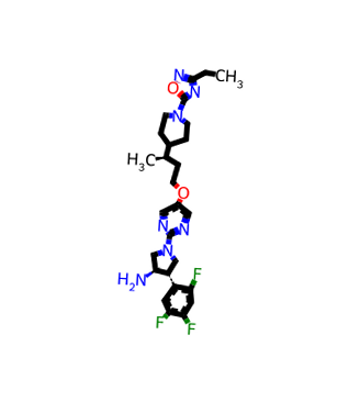 CCc1noc(N2CCC([C@H](C)CCOc3cnc(N4C[C@H](c5cc(F)c(F)cc5F)[C@@H](N)C4)nc3)CC2)n1